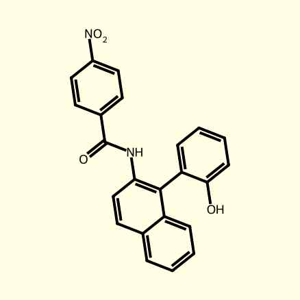 O=C(Nc1ccc2ccccc2c1-c1ccccc1O)c1ccc([N+](=O)[O-])cc1